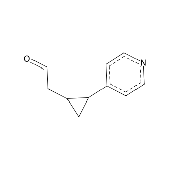 O=CCC1CC1c1ccncc1